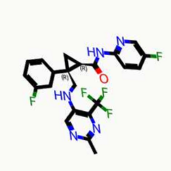 Cc1ncc(NC[C@@]2(C3C=CC=C(F)C3)C[C@H]2C(=O)Nc2ccc(F)cn2)c(C(F)(F)F)n1